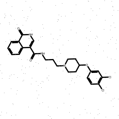 O=C(NCCCN1CCC(Oc2ccc(Cl)c(Cl)c2)CC1)c1c[nH]c(=O)c2ccccc12